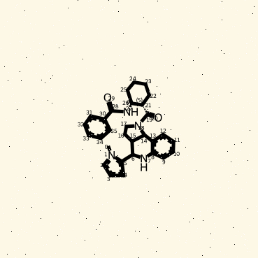 Cn1cccc1C1Nc2ccccc2C2C1CCN2C(=O)[C@H]1CCCC[C@H]1NC(=O)c1ccccc1